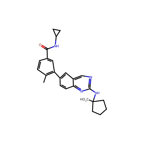 Cc1ccc(C(=O)NC2CC2)cc1-c1ccc2nc(NC3(C(=O)O)CCCC3)ncc2c1